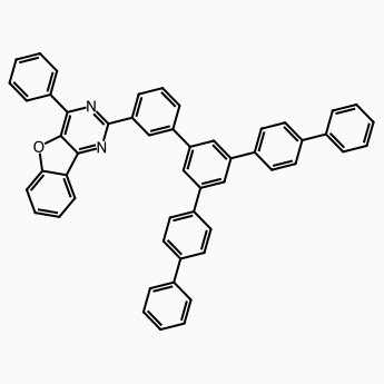 c1ccc(-c2ccc(-c3cc(-c4ccc(-c5ccccc5)cc4)cc(-c4cccc(-c5nc(-c6ccccc6)c6oc7ccccc7c6n5)c4)c3)cc2)cc1